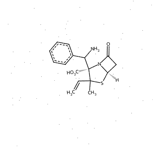 C=CC1(C)S[C@@H]2CC(=O)N2[C@]1(C(=O)O)C(N)c1ccccc1